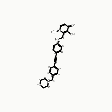 Cn1ccc(=O)c(O)c1CNc1ccc(C#Cc2ccc(CN3CCOCC3)cc2)cc1